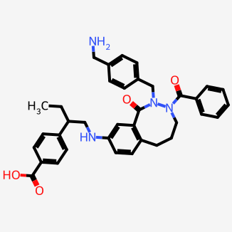 CCC(CNc1ccc2c(c1)C(=O)N(Cc1ccc(CN)cc1)N(C(=O)c1ccccc1)CCC2)c1ccc(C(=O)O)cc1